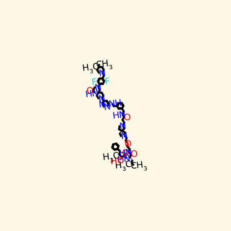 CC(C)C[C@H](NC(=O)[C@@H](O)[C@H](C)Cc1ccccc1)C(=O)NCCOCCN1CC[C@]2(CCN(CCC(=O)NCc3cccc(CNc4cc(N5CCC6(CC5)CN(c5cc(F)c(CN7CCC(C)(C)CC7)cc5F)CC(=O)N6)ncn4)c3)C2)C1